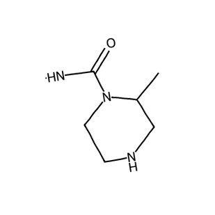 CC1CNCCN1C([NH])=O